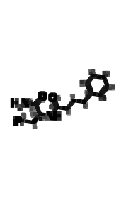 CC(C)C[C@H](NC(=O)CCCc1ccccc1)C(N)=O